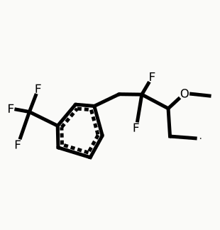 [CH2]CC(OC)C(F)(F)Cc1cccc(C(F)(F)F)c1